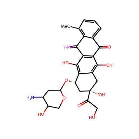 COc1cccc2c1C(=P)c1c(O)c3c(c(O)c1C2=O)C[C@@](O)(C(=O)CO)C[C@@H]3OC1CC(N)C(O)CO1